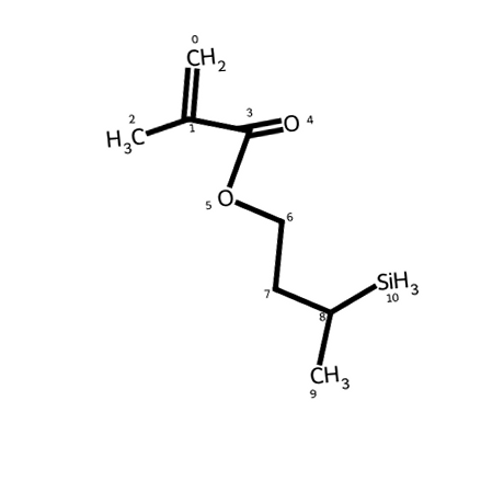 C=C(C)C(=O)OCCC(C)[SiH3]